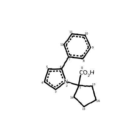 O=C(O)C1(n2cccc2-c2ccccc2)CCCC1